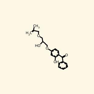 C=C(C)COCC(O)COc1ccc(C(=O)c2ccccc2)c(O)c1